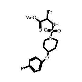 COC(=O)C(NS(=O)(=O)N1CCC(Oc2ccc(F)cc2)CC1)C(C)C